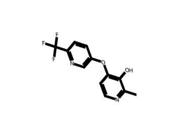 Cc1nccc(Oc2ccc(C(F)(F)F)nc2)c1O